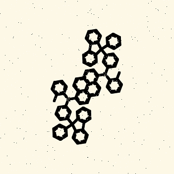 Cc1ccccc1N(c1cccc(C2(c3ccccc3)c3ccccc3-c3ccccc32)c1)c1ccc2ccc3c(N(c4cccc(C5(c6ccccc6)c6ccccc6-c6ccccc65)c4)c4ccccc4C)ccc4ccc1c2c43